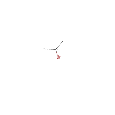 C[C](C)Br